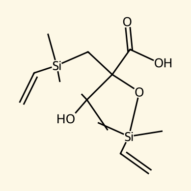 C=C[Si](C)(C)CC(O[Si](C)(C)C=C)(C(=O)O)C(C)(C)O